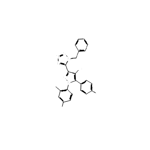 Cc1c(-c2nnnn2Cc2ccccc2)nn(-c2ccc(Cl)cc2Cl)c1-c1ccc(Cl)cc1